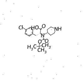 CC(C)(C)OC(=O)N(C1CCNCC1)[C@H](Cc1ccc(Cl)cc1)C(=O)O